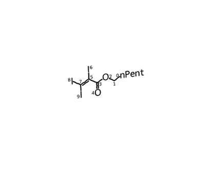 CCCCCCOC(=O)C(I)=C(I)I